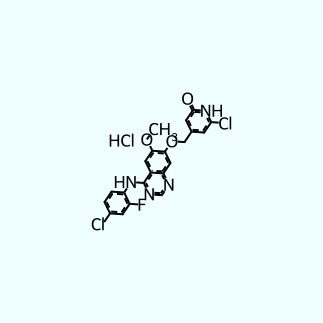 COc1cc2c(Nc3ccc(Cl)cc3F)ncnc2cc1OCc1cc(Cl)[nH]c(=O)c1.Cl